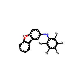 [2H]c1c([2H])c([2H])c(Nc2ccc3oc4ccccc4c3c2)c([2H])c1[2H]